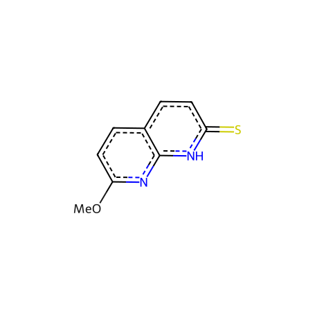 COc1ccc2ccc(=S)[nH]c2n1